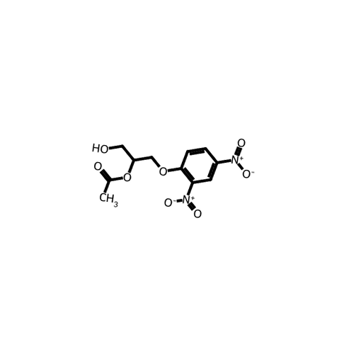 CC(=O)OC(CO)COc1ccc([N+](=O)[O-])cc1[N+](=O)[O-]